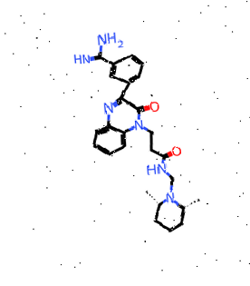 C[C@@H]1CCC[C@H](C)N1CNC(=O)CCn1c(=O)c(-c2cccc(C(=N)N)c2)nc2ccccc21